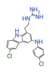 N=C(N)NCCc1cc(Nc2ccc(Cl)cc2)cc2c1[nH]c1ccc(Cl)cc12